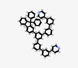 c1ccc(C2(c3ccccc3)c3ccccc3-c3ccc(-c4cc(-c5cccc(-c6cccc(-c7ccncc7)c6)c5)cc(-c5cccc(-c6cccc(-c7ccncc7)c6)c5)c4)cc32)cc1